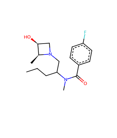 CCCC(CN1C[C@H](O)[C@@H]1C)N(C)C(=O)c1ccc(F)cc1